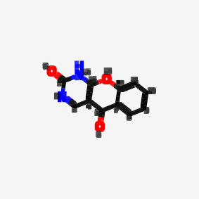 O=c1ncc2c(=O)c3ccccc3oc2[nH]1